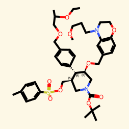 CCOC(C)COCc1ccc([C@H]2[C@H](COS(=O)(=O)c3ccc(C)cc3)CN(C(=O)OC(C)(C)C)C[C@@H]2OCc2ccc3c(c2)N(CCCOC)CCO3)cc1